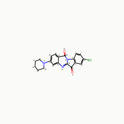 O=C1c2cc(Cl)ccc2-n2c1nc1cc(N3CCCCC3)ccc1c2=O